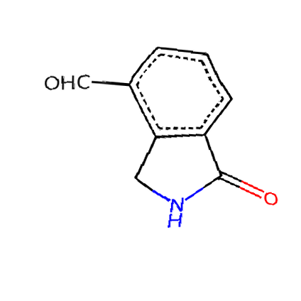 O=Cc1cccc2c1CNC2=O